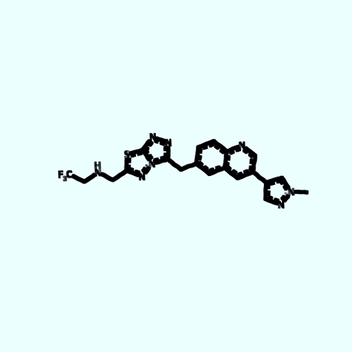 Cn1cc(-c2cnc3ccc(Cc4nnc5sc(CNCC(F)(F)F)nn45)cc3c2)cn1